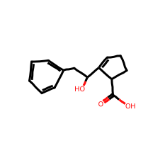 O=C(O)C1CCC=C1C(O)Cc1ccccc1